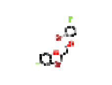 CC(CCOc1ccc(F)cc1Br)Oc1ccc(F)cc1Br